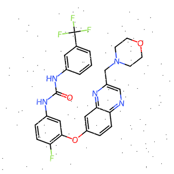 O=C(Nc1cccc(C(F)(F)F)c1)Nc1ccc(F)c(Oc2ccc3ncc(CN4CCOCC4)nc3c2)c1